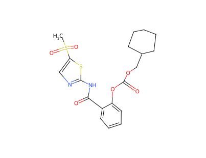 CS(=O)(=O)c1cnc(NC(=O)c2ccccc2OC(=O)OCC2CCCCC2)s1